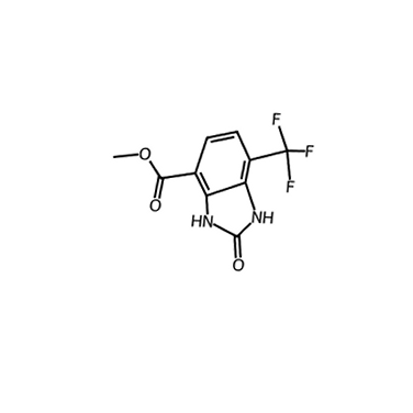 COC(=O)c1ccc(C(F)(F)F)c2[nH]c(=O)[nH]c12